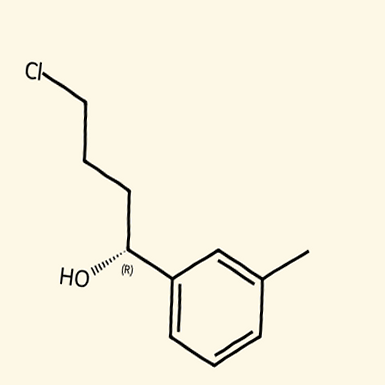 Cc1cccc([C@H](O)CCCCl)c1